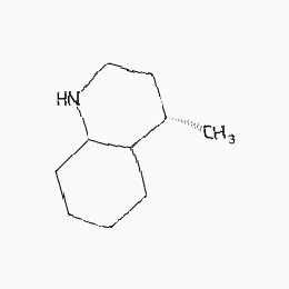 C[C@H]1CCNC2CCCCC21